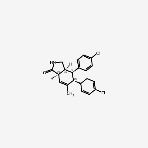 CC1=C[C@H]2C(=O)NC[C@H]2[C@@H](c2ccc(Cl)cc2)[C@H]1C1C=CC(Cl)=CC1